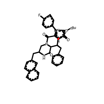 CC(C)(C)OC(=O)NC(Cc1ccc(F)cc1)C(=O)N1CC(Cc2ccc3ccccc3c2)NC(=O)C1C(Cc1ccccc1)c1c[nH]cn1